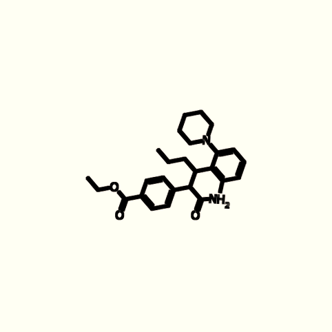 CCCC(c1c(C)cccc1N1CCCCC1)C(C(N)=O)c1ccc(C(=O)OCC)cc1